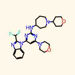 FC(F)c1nc2ccccc2n1-c1cc(N2CCOCC2)nc(NC2CCCN(C3CCOCC3)CC2)n1